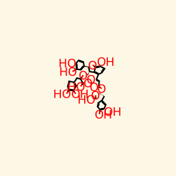 O=C(/C=C/c1ccc(O)c2c1[C@H](C(=O)OC(Cc1ccc(O)c(O)c1)C(=O)O)[C@@H](c1ccc(O)c(O)c1)O2)O[C@H](Cc1ccc(O)c(O)c1)OCO